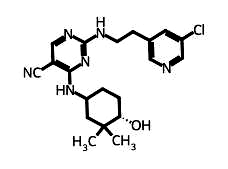 CC1(C)CC(Nc2nc(NCCc3cncc(Cl)c3)ncc2C#N)CC[C@@H]1O